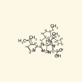 CCC1CCC(Cn2c(-c3cc(C(C)C)ccn3)nc3nc(C(=O)O)nc(N[C@H](C)C4CCC4)c32)CC1